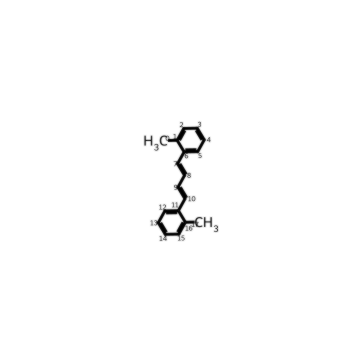 Cc1ccccc1/C=C/C=C/c1ccccc1C